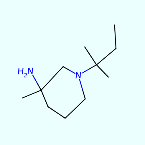 CCC(C)(C)N1CCCC(C)(N)C1